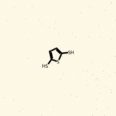 Sc1ccc(S)s1